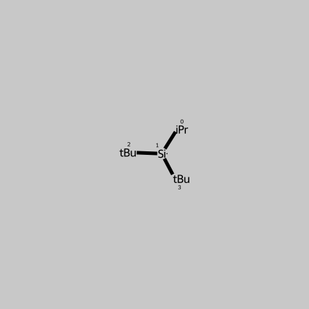 CC(C)[Si](C(C)(C)C)C(C)(C)C